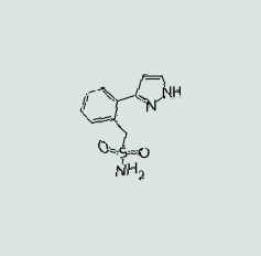 NS(=O)(=O)Cc1ccccc1-c1cc[nH]n1